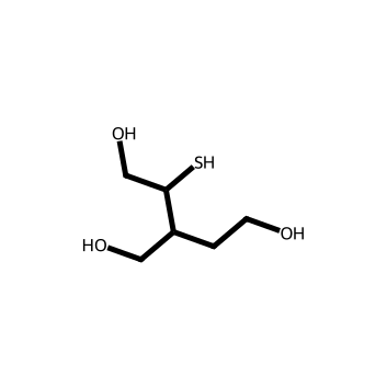 OCCC(CO)C(S)CO